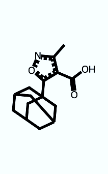 Cc1noc(C23CC4CC(CC(C4)C2)C3)c1C(=O)O